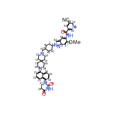 COc1cc2nn(C3CCC(CN4CCC5(CC4)CCN(c4cccc6c(N7CCC(=O)NC7=O)cccc46)CC5)CC3)cc2cc1NC(=O)c1cncc(C#N)c1